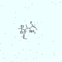 C/C=C\C=C(\C(C)C(N)/C(F)=C\C)C(C)(CC)CC